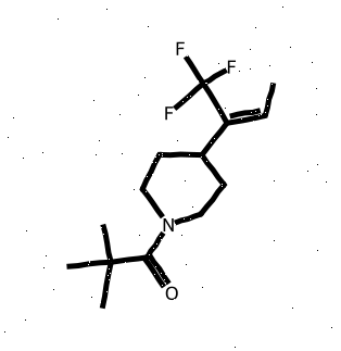 C/C=C(/C1CCN(C(=O)C(C)(C)C)CC1)C(F)(F)F